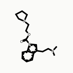 CN(C)CCc1cn(C(=O)OCCN2CCCC2)c2ccccc12